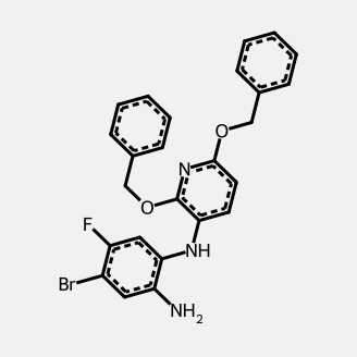 Nc1cc(Br)c(F)cc1Nc1ccc(OCc2ccccc2)nc1OCc1ccccc1